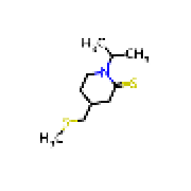 CSCC1CCN(C(C)C)C(=S)C1